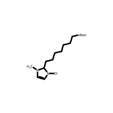 CCCCCCCCCCCCCCCCC1N(C)C=CN1CC